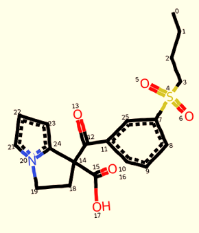 CCCCS(=O)(=O)c1cccc(C(=O)C2(C(=O)O)CCn3cccc32)c1